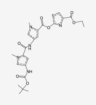 CCOC(=O)c1csc(OC(=O)c2cc(NC(=O)c3cc(NC(=O)OC(C)(C)C)cn3C)cn2C)n1